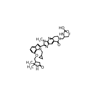 Cn1c(-c2cc3cccc(OCC4CC(=O)NC4(C)C)c3n2CC2CC2)nc2cc3c(nc21)CCN(CC(CF)NC(=O)O)C3=O